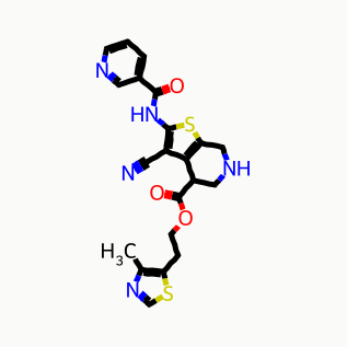 Cc1ncsc1CCOC(=O)C1CNCc2sc(NC(=O)c3cccnc3)c(C#N)c21